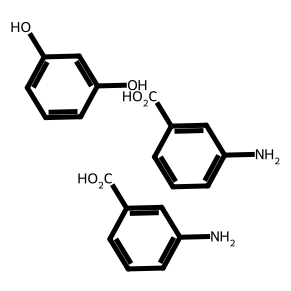 Nc1cccc(C(=O)O)c1.Nc1cccc(C(=O)O)c1.Oc1cccc(O)c1